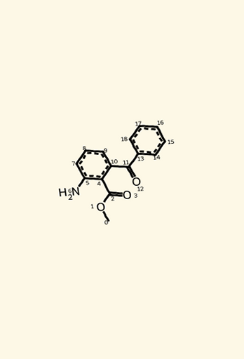 COC(=O)c1c(N)cccc1C(=O)c1ccccc1